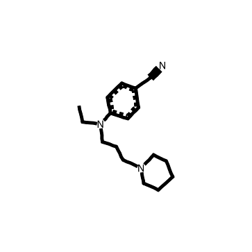 CCN(CCCN1CCCCC1)c1ccc(C#N)cc1